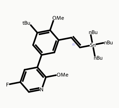 CCC[CH2][Sn](/[CH]=C/c1cc(-c2cc(F)cnc2OC)cc(C(C)(C)C)c1OC)([CH2]CCC)[CH2]CCC